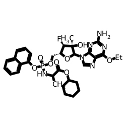 CCOc1nc(N)nc2c1ncn2C1O[C@H](COP(=O)(NC(C)C(=O)OC2CCCCC2)Oc2cccc3ccccc23)[C@@H](F)[C@@]1(C)O